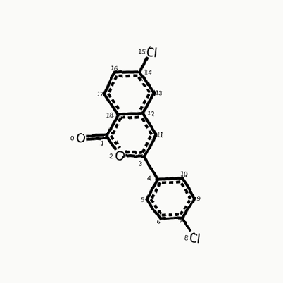 O=c1oc(-c2ccc(Cl)cc2)cc2cc(Cl)ccc12